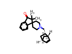 CC1(C)C(=O)c2ccccc2C12CCN(C[C@H]1C[C@@H]3C=C[C@@H]1C3)CC2